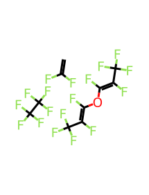 C=C(F)F.FC(F)(F)C(F)(F)F.FC(OC(F)=C(F)C(F)(F)F)=C(F)C(F)(F)F